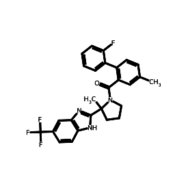 Cc1ccc(-c2ccccc2F)c(C(=O)N2CCCC2(C)c2nc3cc(C(F)(F)F)ccc3[nH]2)c1